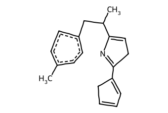 Cc1ccc(CC(C)C2=CCC(C3=CC=CC3)=N2)cc1